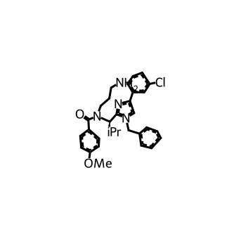 COc1ccc(C(=O)N(CCCN)[C@@H](c2nc(-c3cccc(Cl)c3)cn2Cc2ccccc2)C(C)C)cc1